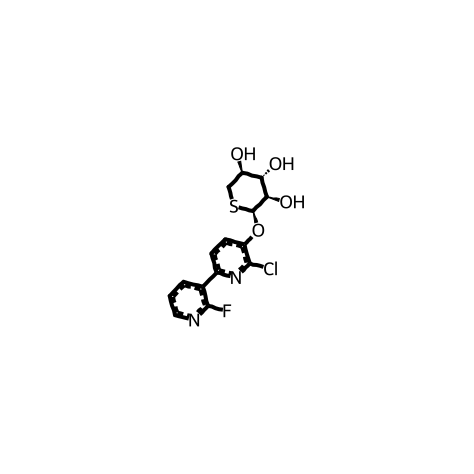 O[C@@H]1[C@@H](O)[C@@H](Oc2ccc(-c3cccnc3F)nc2Cl)SC[C@H]1O